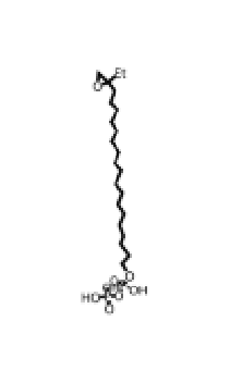 CCC1(CCCCCCCCCCCCCCCCCCOP(=O)(O)OP(=O)(O)O)CO1